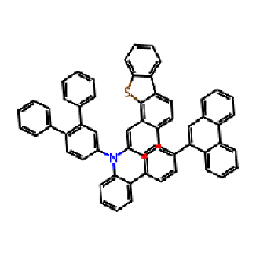 c1ccc(-c2ccc(N(c3ccc4ccc5c6ccccc6sc5c4c3)c3ccccc3-c3ccc(-c4cc5ccccc5c5ccccc45)cc3)cc2-c2ccccc2)cc1